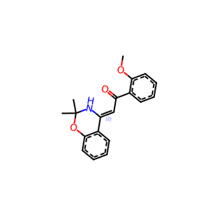 COc1ccccc1C(=O)/C=C1\NC(C)(C)Oc2ccccc21